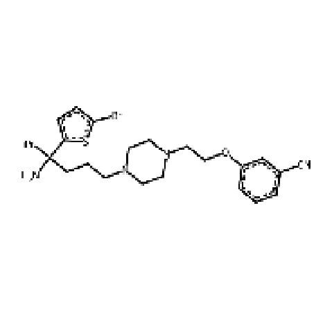 CC(C)C(N)(CCCN1CCN(CCOc2cccc(C#N)c2)CC1)c1ccc(Br)s1